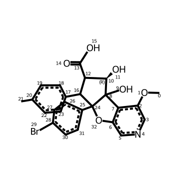 COc1cncc2c1C1(O)[C@H](O)C(C(=O)O)C(c3ccc(C)cc3)C1(c1ccc(Br)cc1)O2